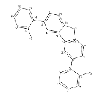 Cc1ccccc1-c1ccc2c(c1)-c1cc(-c3ccccc3C)ccc1C2